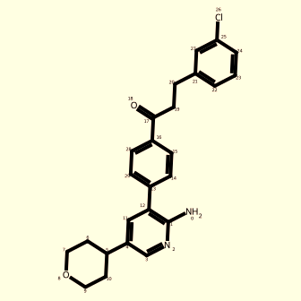 Nc1ncc(C2CCOCC2)cc1-c1ccc(C(=O)CCc2cccc(Cl)c2)cc1